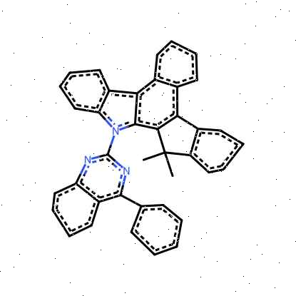 CC1(C)c2ccccc2-c2c1c1c(c3ccccc23)c2ccccc2n1-c1nc(-c2ccccc2)c2ccccc2n1